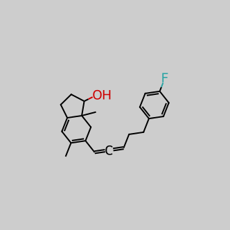 CC1=C(C=C=CCCc2ccc(F)cc2)CC2(C)C(=C1)CCC2O